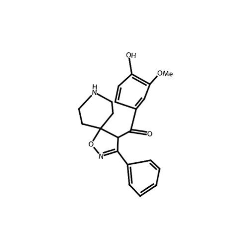 COc1cc(C(=O)C2C(c3ccccc3)=NOC23CCNCC3)ccc1O